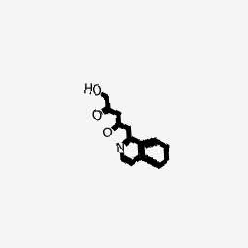 O=C(CO)CC(=O)Cc1nccc2ccccc12